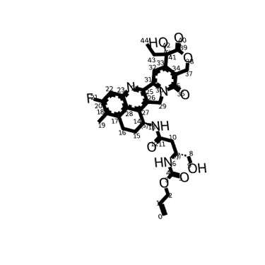 C=CCOC(=O)N[C@@H](CO)CC(=O)N[C@H]1CCc2c(C)c(F)cc3nc4c(c1c23)Cn1c-4cc2c(c1=O)COC(=O)[C@]2(O)CC